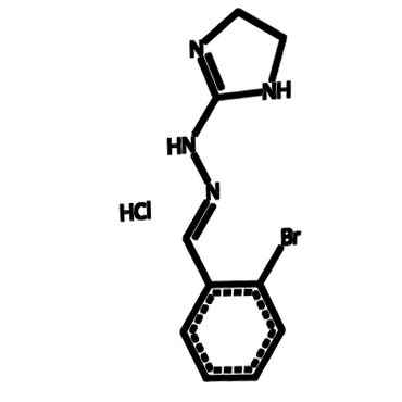 Brc1ccccc1C=NNC1=NCCN1.Cl